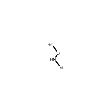 C[CH]ONCC